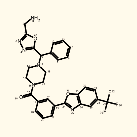 NCc1nnc(C(c2ccccc2)N2CCN(C(=O)c3cccc(-c4nc5cc(C(F)(F)F)ccc5o4)c3)CC2)o1